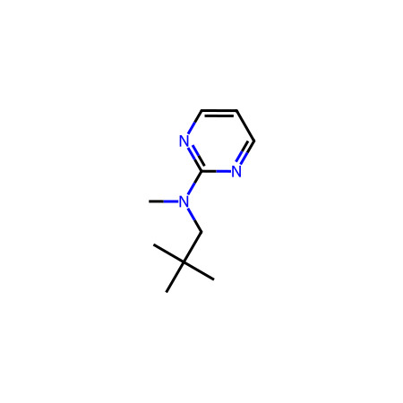 CN(CC(C)(C)C)c1ncccn1